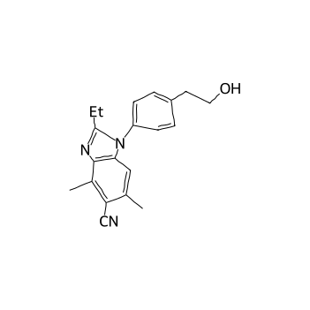 CCc1nc2c(C)c(C#N)c(C)cc2n1-c1ccc(CCO)cc1